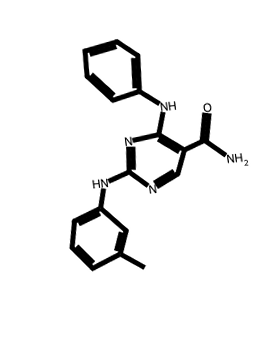 Cc1cccc(Nc2ncc(C(N)=O)c(Nc3ccccc3)n2)c1